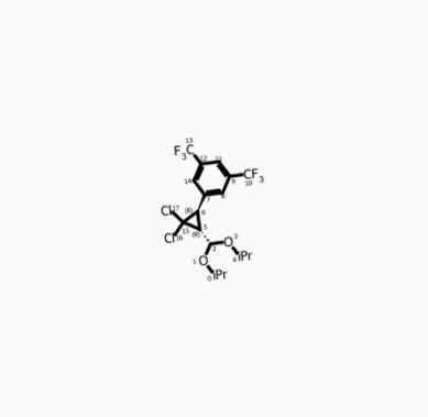 CC(C)OC(OC(C)C)[C@H]1[C@H](c2cc(C(F)(F)F)cc(C(F)(F)F)c2)C1(Cl)Cl